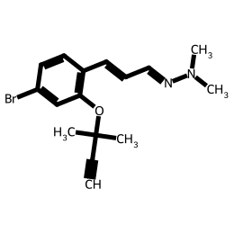 C#CC(C)(C)Oc1cc(Br)ccc1/C=C/C=N/N(C)C